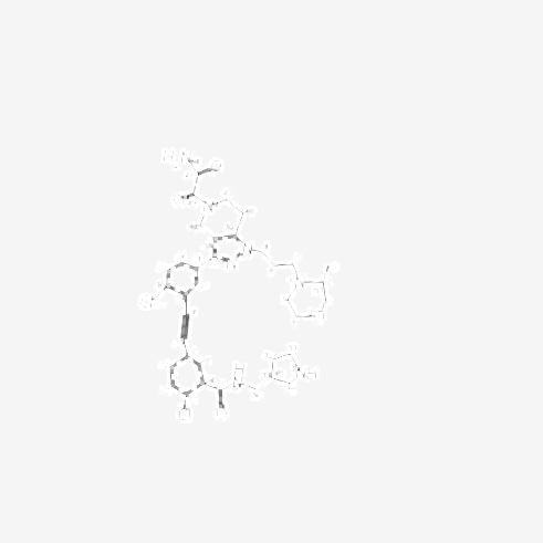 C[C@H]1COCCN1CCCn1nc(-c2ccc(Cl)c(C#Cc3ccc(Cl)c(C(=O)NC[C@@H]4CCNC4)c3)c2)c2c1CCN(C(=O)C(N)=O)C2